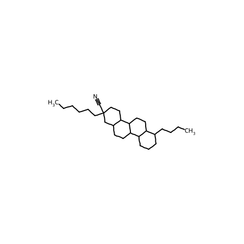 CCCCCCC1(C#N)CCC2C(CCC3C4CCCC(CCCC)C4CCC23)C1